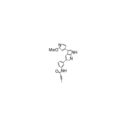 CC#CC(=O)Nc1cccc(-c2cnc3[nH]cc(-c4ccnc(OC)c4)c3c2)c1